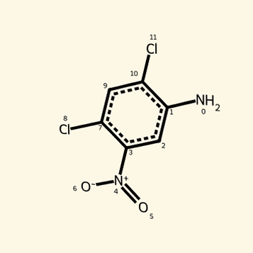 Nc1cc([N+](=O)[O-])c(Cl)cc1Cl